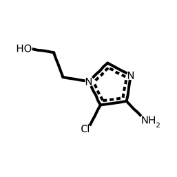 Nc1ncn(CCO)c1Cl